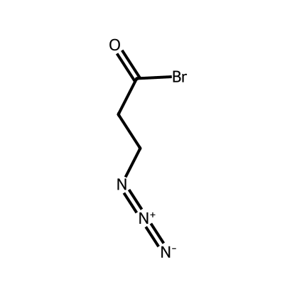 [N-]=[N+]=NCCC(=O)Br